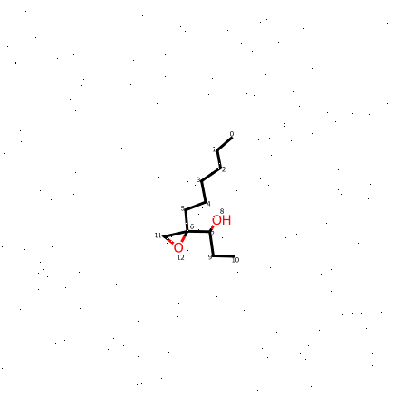 CCCCCCC1(C(O)CC)CO1